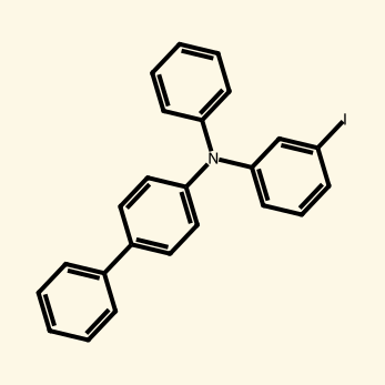 Ic1cccc(N(c2ccccc2)c2ccc(-c3ccccc3)cc2)c1